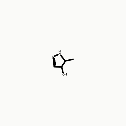 CC1NN=CC1O